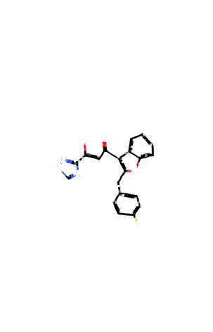 O=C(C=C(O)c1nc[nH]n1)c1c(Cc2ccc(F)cc2)oc2ccccc12